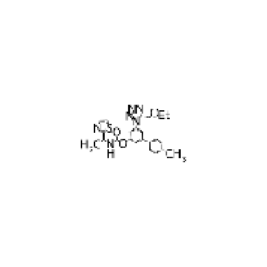 CCOCc1nnnn1-c1cc(OC(=O)NC(C)c2nccs2)cc(-c2ccc(C)cc2)c1